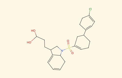 O=S(=O)(C1=CCCC(C2=CC=C(Cl)CC2)C1)N1CC(CCC(O)O)C2=CC=CCC21